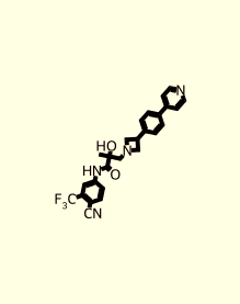 CC(O)(CN1CC(c2ccc(-c3ccncc3)cc2)C1)C(=O)Nc1ccc(C#N)c(C(F)(F)F)c1